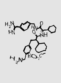 CC(=O)O.N=C(N)c1ccc(CNC(=O)[C@@H](NC(=O)C(Cc2ccc(CN)cc2)C2CCCCC2)C2CCCCC2)cc1